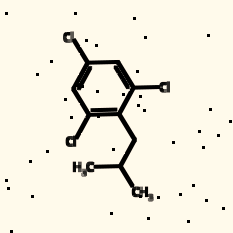 CC(C)Cc1c(Cl)cc(Cl)cc1Cl